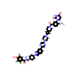 Cc1ccc(C(=O)N2CCC3(CC2)CC(N2CCN(c4cnc(-c5ccc6cn([C@H]7CC[C@H](CNC(=O)c8cc(F)c(O)c(F)c8F)CC7)nc6c5)cn4)CC2)C3)cc1N1CCC(=O)NC1=O